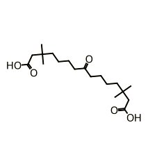 CC(C)(CCCCC(=O)CCCCC(C)(C)CC(=O)O)CC(=O)O